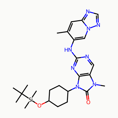 Cc1cc2ncnn2cc1Nc1ncc2c(n1)n(C1CCC(O[Si](C)(C)C(C)(C)C)CC1)c(=O)n2C